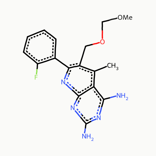 COCOCc1c(-c2ccccc2F)nc2nc(N)nc(N)c2c1C